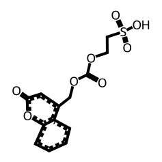 O=C(OCCS(=O)(=O)O)OCc1cc(=O)oc2ccccc12